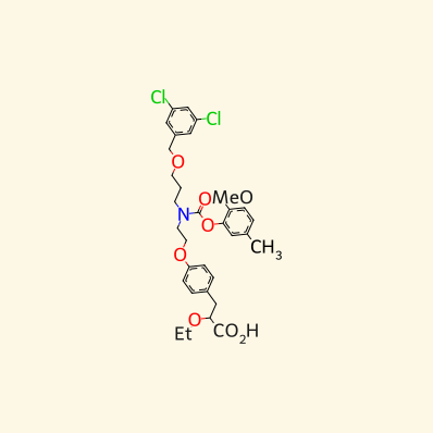 CCOC(Cc1ccc(OCCN(CCCOCc2cc(Cl)cc(Cl)c2)C(=O)Oc2cc(C)ccc2OC)cc1)C(=O)O